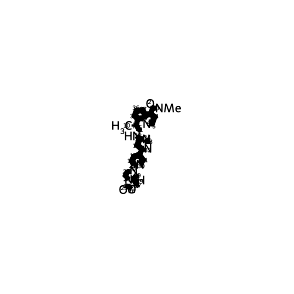 CNC(=O)c1ccnc2c([C@H](C)CNc3cc(-c4ccc(N5CCN6C(=O)OC[C@@H]6C5)nc4)ncn3)cccc12